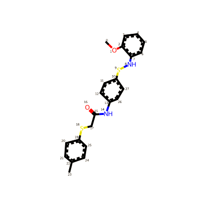 COc1ccccc1NSc1ccc(NC(=O)CSc2ccc(C)cc2)cc1